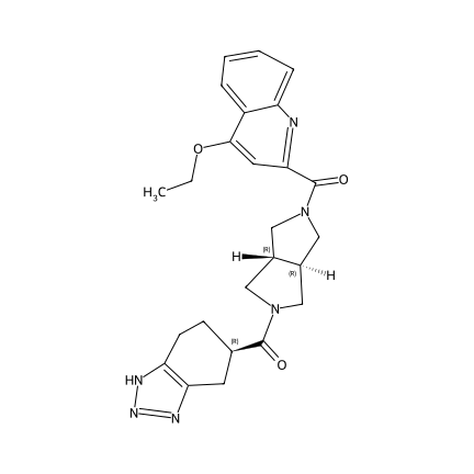 CCOc1cc(C(=O)N2C[C@H]3CN(C(=O)[C@@H]4CCc5[nH]nnc5C4)C[C@@H]3C2)nc2ccccc12